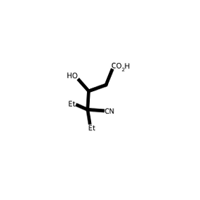 CCC(C#N)(CC)C(O)CC(=O)O